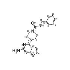 Nc1nc(N2CCN(C(=O)NCc3ccccc3)CC2)c2ncsc2n1